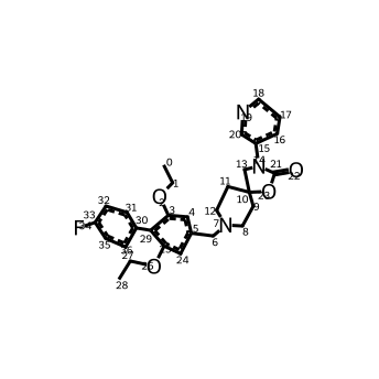 CCOc1cc(CN2CCC3(CC2)CN(c2cccnc2)C(=O)O3)cc(OCC)c1-c1ccc(F)cc1